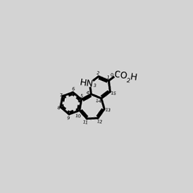 O=C(O)C1=CNC2=c3ccccc3=CC=CC2=C1